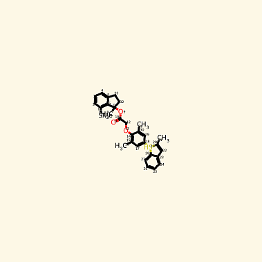 CSc1cccc2c1C(C)(OC(=O)COc1c(C)cc([SH]3C(C)=Cc4ccccc43)cc1C)CC2